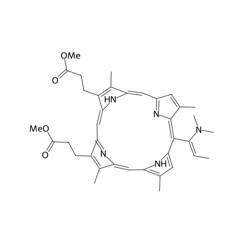 CC=C(c1c2nc(cc3[nH]c(cc4nc(cc5[nH]c1cc5C)C(C)=C4CCC(=O)OC)c(CCC(=O)OC)c3C)C=C2C)N(C)C